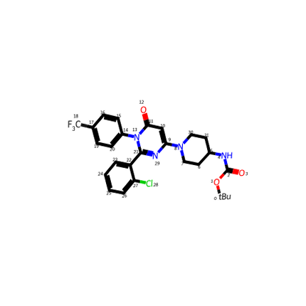 CC(C)(C)OC(=O)NC1CCN(c2cc(=O)n(-c3ccc(C(F)(F)F)cc3)c(-c3ccccc3Cl)n2)CC1